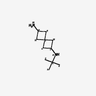 CC(C)(C)NC1CC2(CC(N)C2)C1